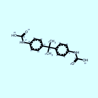 CC(C)(c1ccc(NC(=O)O)cc1)c1ccc(NC(=O)O)cc1